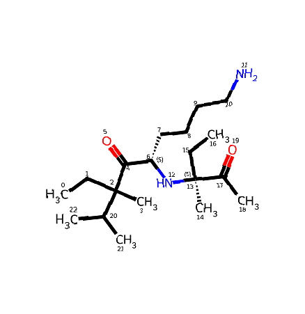 CCC(C)(C(=O)[C@H](CCCCN)N[C@@](C)(CC)C(C)=O)C(C)C